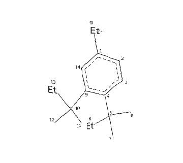 C[CH]c1ccc(C(C)(C)CC)c(C(C)(C)CC)c1